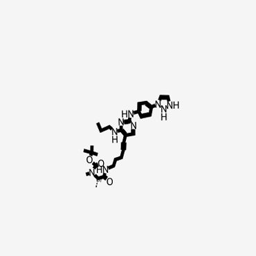 CCCNc1nc(Nc2ccc(N3C=CNN3)cc2)ncc1C#CCCCNC(=O)[C@H](C)N(C)C(=O)OC(C)(C)C